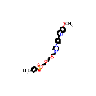 COc1ccc2nc(-c3ccc(N4CCN(CCOCCOCCOS(=O)(=O)c5ccc(C)cc5)CC4)cc3)ccc2c1